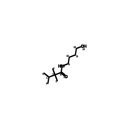 CC(C)C(C)(C)C(=O)NCCCCO